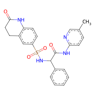 Cc1ccc(NC(=O)C(NS(=O)(=O)c2ccc3c(c2)CCC(=O)N3)c2ccccc2)nc1